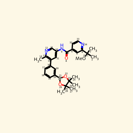 COC(C)(C)c1cc(C(=O)Nc2cnc(C)c(-c3cccc(B4OC(C)(C)C(C)(C)O4)c3)c2)ccn1